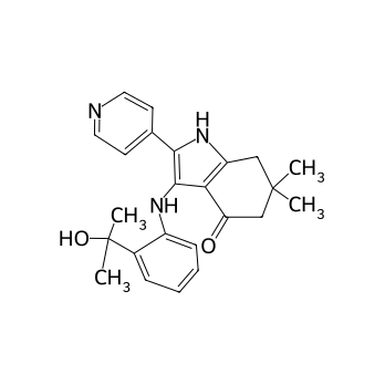 CC1(C)CC(=O)c2c([nH]c(-c3ccncc3)c2Nc2ccccc2C(C)(C)O)C1